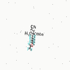 COC(C)(CCC#N)C(F)(F)C(F)(F)C(F)(F)C(F)(F)OC(F)=C(F)F